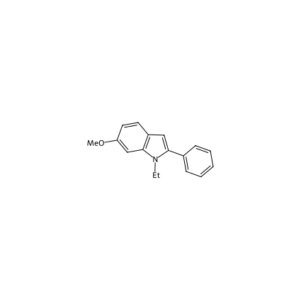 CCn1c(-c2ccccc2)cc2ccc(OC)cc21